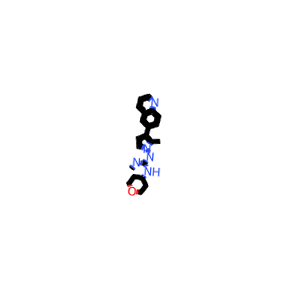 C=N/C(=N\n1ccc(-c2ccc3ncccc3c2)c1C)NC1CCOCC1